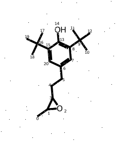 CC1OC1CCc1cc(C(C)(C)C)c(O)c(C(C)(C)C)c1